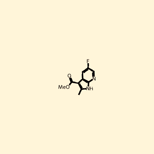 COC(=O)c1c(C)[nH]c2ncc(F)cc12